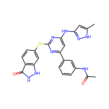 CC(=O)Nc1cccc(-c2cc(Nc3cc(C)[nH]n3)nc(Sc3ccc4c(=O)[nH][nH]c4c3)n2)c1